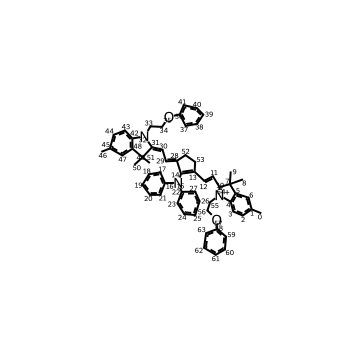 Cc1ccc2c(c1)C(C)(C)C(/C=C/C1=C(N(c3ccccc3)c3ccccc3)C(=C/C=C3/N(CCOc4ccccc4)c4ccc(C)cc4C3(C)C)/CC1)=[N+]2CCOc1ccccc1